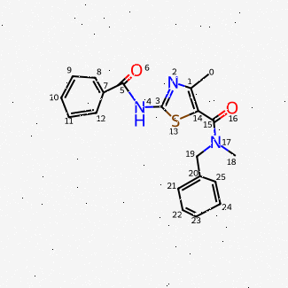 Cc1nc(NC(=O)c2ccccc2)sc1C(=O)N(C)Cc1ccccc1